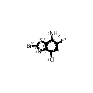 Nc1c(F)cc(Cl)c2nc(Br)sc12